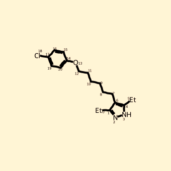 CCc1n[nH]c(CC)c1CCCCCCOc1ccc(Cl)cc1